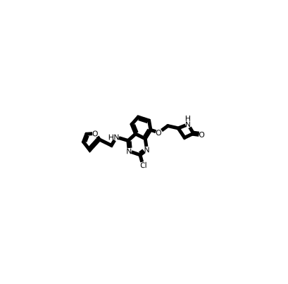 O=C1CC(COc2cccc3c(NCc4ccco4)nc(Cl)nc23)N1